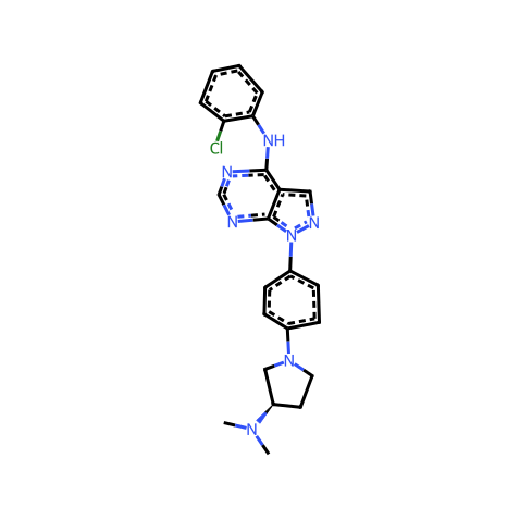 CN(C)[C@@H]1CCN(c2ccc(-n3ncc4c(Nc5ccccc5Cl)ncnc43)cc2)C1